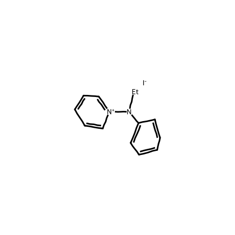 CCN(c1ccccc1)[n+]1ccccc1.[I-]